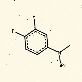 CC(C)N(C)c1ccc(F)c(F)c1